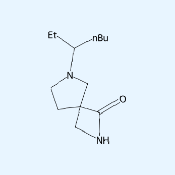 CCCCC(CC)N1CCC2(CNC2=O)C1